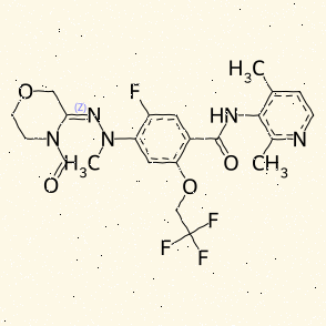 Cc1ccnc(C)c1NC(=O)c1cc(F)c(N(C)/N=C2/COCCN2C=O)cc1OCC(F)(F)F